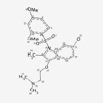 COc1ccc(S(=O)(=O)n2c(C)c(OCCN(C)C)c3ccc(Cl)cc32)c(OC)c1